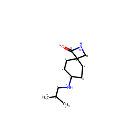 CC(C)CNC1CCC2(CC1)CNC2=O